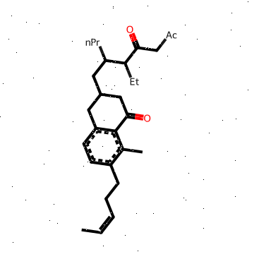 C/C=C\CCc1ccc2c(c1C)C(=O)CC(CC(CCC)C(CC)C(=O)CC(C)=O)C2